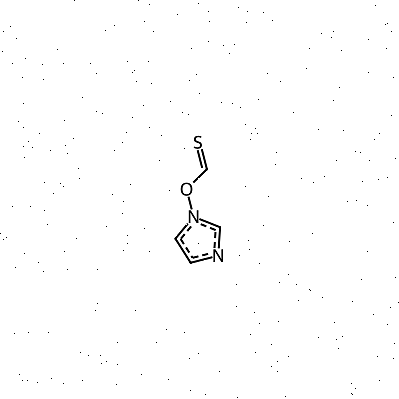 S=COn1ccnc1